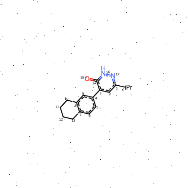 CC(C)c1cc(-c2ccc3c(c2)CCCC3)c(=O)[nH]n1